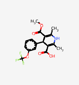 COC(=O)C1=C(C)NC(C)=C(C(=O)O)C1c1cccc(OC(F)(F)F)c1